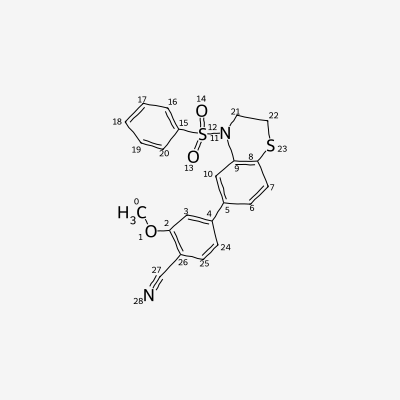 COc1cc(-c2ccc3c(c2)N(S(=O)(=O)c2ccccc2)CCS3)ccc1C#N